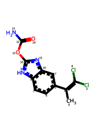 CC(=C(Cl)Cl)c1ccc2[nH]c(OC(N)=O)nc2c1